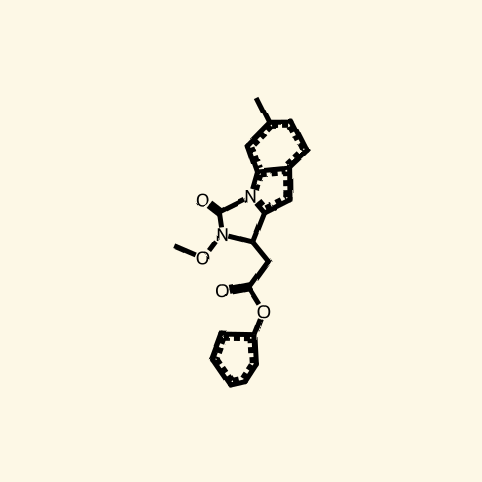 CON1C(=O)n2c(cc3ccc(C)cc32)C1CC(=O)Oc1ccccc1